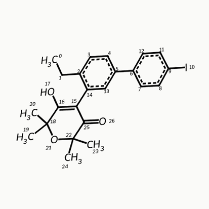 CCc1ccc(-c2ccc(I)cc2)cc1C1=C(O)C(C)(C)OC(C)(C)C1=O